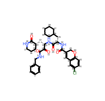 O=C(NCc1ccccc1)C(=O)[C@H](C[C@@H]1CCCNC1=O)NC(=O)[C@H](CC1CCCCC1)NC(=O)C1=Cc2cc(Cl)ccc2OC1